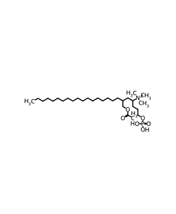 CCCCCCCCCCCCCCCCCCC(COC(C)=O)CC(CCCOP(=O)(O)O)[N+](C)(C)C